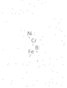 [B].[Cr].[Fe].[Ni]